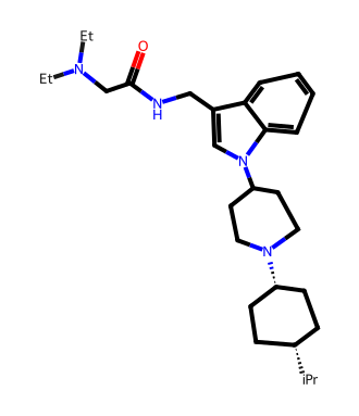 CCN(CC)CC(=O)NCc1cn(C2CCN([C@H]3CC[C@@H](C(C)C)CC3)CC2)c2ccccc12